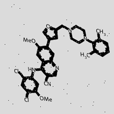 COc1cc(Nc2c(C#N)cnc3cc(-c4coc(CN5CCN(c6c(C)cccc6C)CC5)c4)c(OC)cc23)c(Cl)cc1Cl